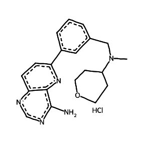 CN(Cc1cccc(-c2ccc3ncnc(N)c3n2)c1)C1CCOCC1.Cl